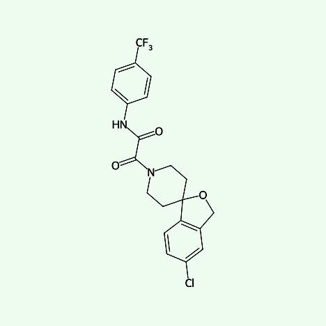 O=C(Nc1ccc(C(F)(F)F)cc1)C(=O)N1CCC2(CC1)OCc1cc(Cl)ccc12